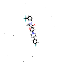 O=C(NCc1cccc(C(F)(F)F)c1)[C@@]1(C2CC2)CC[C@@H](N2CCC(c3ccc(F)cc3)CC2)CO1